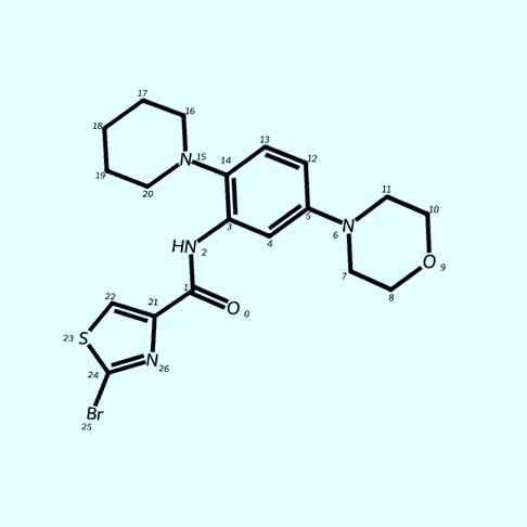 O=C(Nc1cc(N2CCOCC2)ccc1N1CCCCC1)c1csc(Br)n1